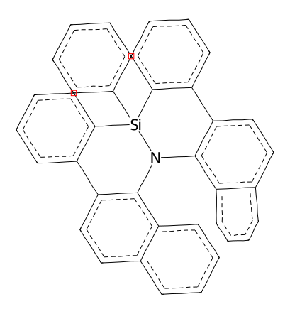 c1ccc([Si]23c4ccccc4-c4ccc5ccccc5c4N2c2c(ccc4ccccc24)-c2ccccc23)cc1